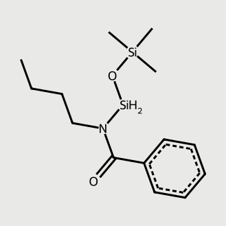 CCCCN([SiH2]O[Si](C)(C)C)C(=O)c1ccccc1